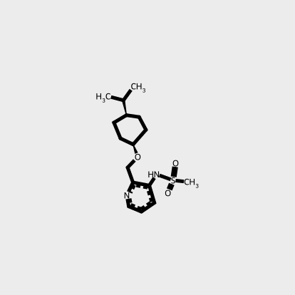 CC(C)[C@H]1CC[C@@H](OCc2ncccc2NS(C)(=O)=O)CC1